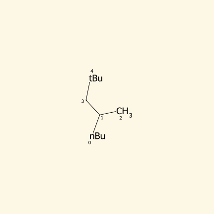 CC[CH]CC(C)CC(C)(C)C